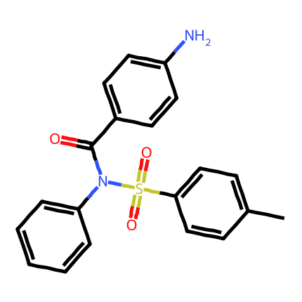 Cc1ccc(S(=O)(=O)N(C(=O)c2ccc(N)cc2)c2ccccc2)cc1